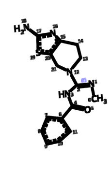 C/N=C(\NC(=O)c1ccccc1)N1CCc2nc(N)sc2C1